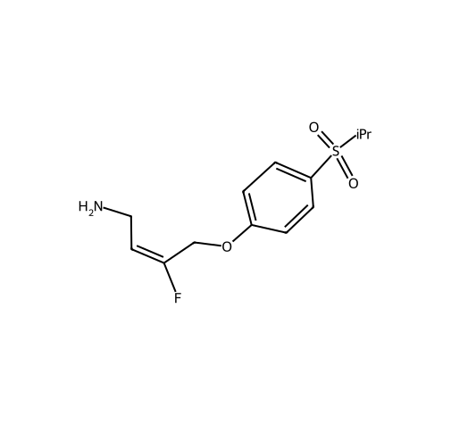 CC(C)S(=O)(=O)c1ccc(OC/C(F)=C\CN)cc1